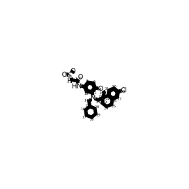 O=C(C[SH](=O)=O)Nc1ccc2c(c1)N(CC1CCCCC1)CC1(CCCc3cc(Cl)ccc31)CO2